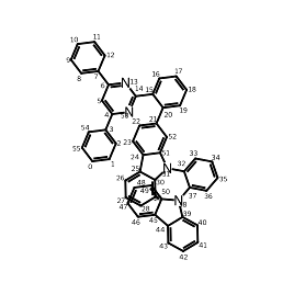 c1ccc(-c2cc(-c3ccccc3)nc(-c3ccccc3-c3ccc4c5ccccc5n(-c5ccccc5-n5c6ccccc6c6ccccc65)c4c3)n2)cc1